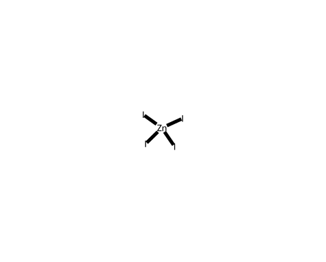 [I][Zn]([I])([I])[I]